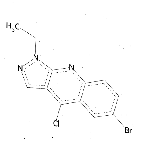 CCn1ncc2c(Cl)c3cc(Br)ccc3nc21